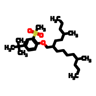 CCCC(C)CCCCC(CCC(C)CCC)COc1ccc(C(C)(C)C)cc1S(C)(=O)=O